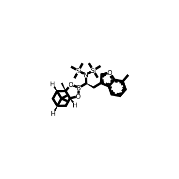 Cc1cccc2c(C[C@@H](B3O[C@@H]4C[C@@H]5C[C@@H](C5(C)C)[C@]4(C)O3)N([Si](C)(C)C)[Si](C)(C)C)coc12